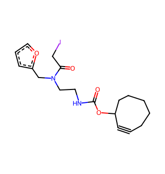 O=C(NCCN(Cc1ccco1)C(=O)CI)OC1C#CCCCCC1